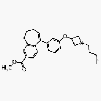 COC(=O)c1ccc2c(c1)CCCC=C2c1cccc(OC2CN(CCCF)C2)c1